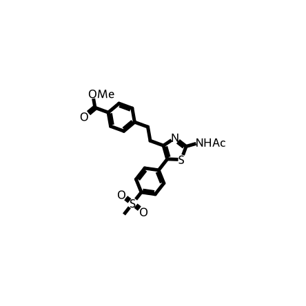 COC(=O)c1ccc(CCc2nc(NC(C)=O)sc2-c2ccc(S(C)(=O)=O)cc2)cc1